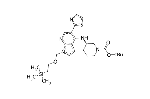 CC(C)(C)OC(=O)N1CCC[C@@H](Nc2c(-c3nccs3)cnc3c2ccn3COCC[Si](C)(C)C)C1